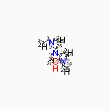 [2H]C(C)CN(CCN(CCN(CC([2H])C)CC([2H])C)CC(C)O)CC([2H])C